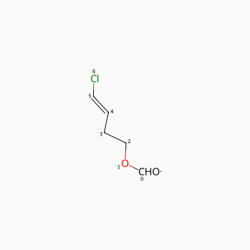 O=[C]OCCC=CCl